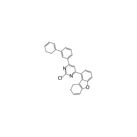 Clc1nc(-c2cccc(C3=CC=CCC3)c2)cc(-c2cccc3oc4c(c23)CCC=C4)n1